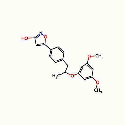 COc1cc(OC)cc(OC(C)Cc2ccc(-c3cc(O)no3)cc2)c1